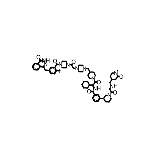 CN1CCC(CNCC(=O)N2CCCC(c3cccc(C(=O)N[C@@H](C(=O)N4CCC(CN5CCN(CC(=O)N6CCN(C(=O)c7cc(Cc8n[nH]c(=O)c9ccccc89)ccc7F)CC6)CC5)CC4)C4CCCCC4)c3)C2)CC1=O